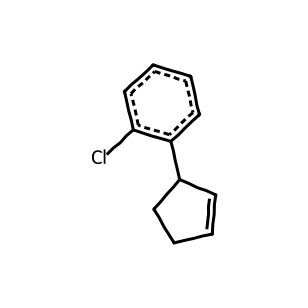 Clc1ccccc1C1C=CCC1